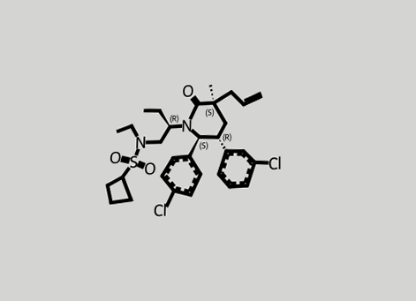 C=CC[C@@]1(C)C[C@H](c2cccc(Cl)c2)[C@@H](c2ccc(Cl)cc2)N([C@H](CC)CN(CC)S(=O)(=O)C2CCC2)C1=O